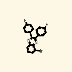 Fc1ccc(-c2nc3ccc[c]([Ir])c3nc2-c2ccc(F)cc2)cc1